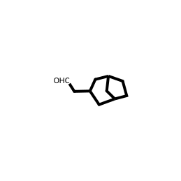 O=CCC1CC2CCC(C1)C2